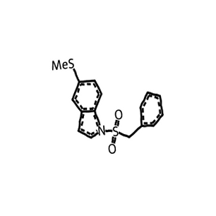 CSc1ccc2c(ccn2S(=O)(=O)Cc2ccccc2)c1